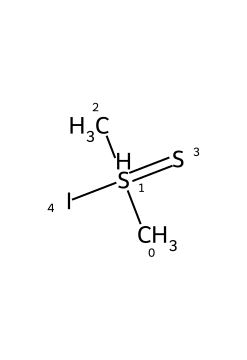 C[SH](C)(=S)I